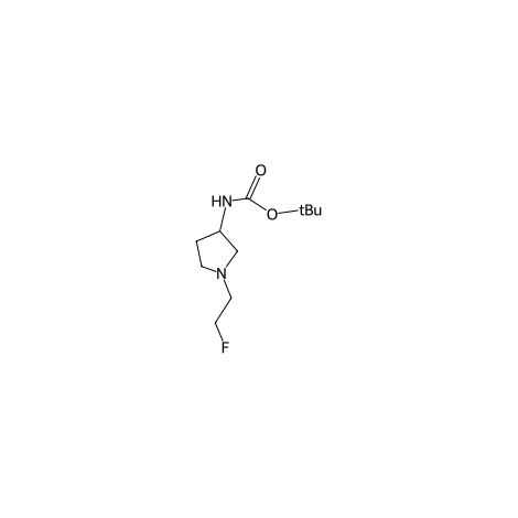 CC(C)(C)OC(=O)NC1CCN(CCF)C1